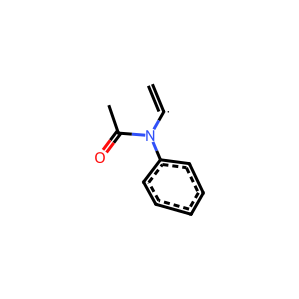 C=[C]N(C(C)=O)c1ccccc1